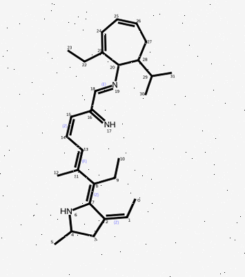 C/C=C1/CC(C)N/C1=C(CC)\C(C)=C\C=C/C(=N)/C=N/C1C(CC)=CC=CCC1C(C)C